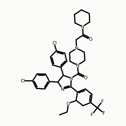 CCOC1CC(C(F)(F)F)=CC=C1C1=NC(c2ccc(Cl)cc2)C(c2ccc(Cl)cc2)N1C(=O)N1CCN(CC(=O)N2CCCCC2)CC1